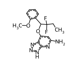 CCC(F)(F)C(Oc1cc(N)nc2[nH]nnc12)c1ccccc1OC